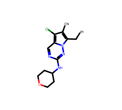 CC(C)Cc1c(C#N)c(Cl)c2cnc(NC3CCOCC3)nn12